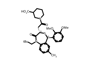 COc1cccc([C@@H]2S[C@@H](CC(=O)N3CCCC(C(=O)O)C3)C(=O)N(CC(C)(C)C)c3ccc(C)cc32)c1OC